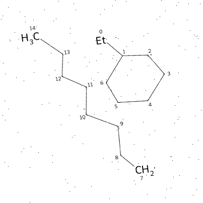 CCC1[CH]CCCC1.[CH2]CCCCCCC